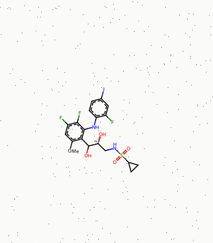 COc1cc(F)c(F)c(Nc2ccc(I)cc2F)c1C(O)[C@@H](O)CNS(=O)(=O)C1CC1